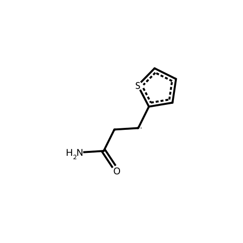 NC(=O)C[CH]c1cccs1